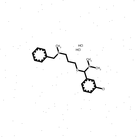 CN(CCCOC(c1cccc(Cl)c1)N(C)C)Cc1ccccc1.Cl.Cl